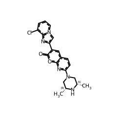 C[C@@H]1CN(c2ccc3cc(-c4cn5cccc(Cl)c5n4)c(=O)oc3n2)C[C@H](C)N1